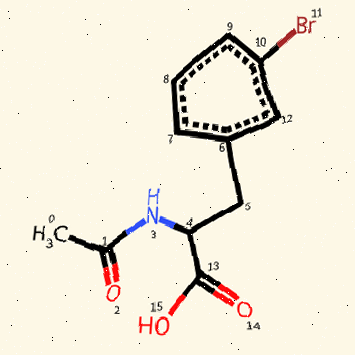 CC(=O)NC(Cc1cccc(Br)c1)C(=O)O